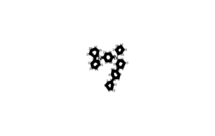 c1ccc(-c2ccc(-c3cccc(N(c4ccccc4)c4ccc(-n5c6ccccc6c6ccccc65)cc4)c3)cc2)cc1